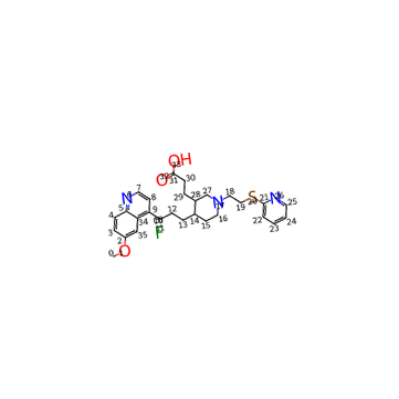 COc1ccc2nccc([C@@H](F)CCC3CCN(CCSc4ccccn4)CC3CCC(=O)O)c2c1